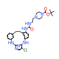 CC(C)(C)OC(=O)N1CCN(CCNC(=O)Nc2ccc3cc2CCc2cccc(c2)Nc2ncc(Cl)c(n2)N3)CC1